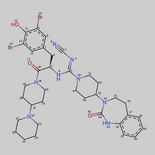 N#CN=C(N[C@H](Cc1cc(Br)c(O)c(Br)c1)C(=O)N1CCC(N2CCCCC2)CC1)N1CCC(N2CCc3ccccc3NC2=O)CC1